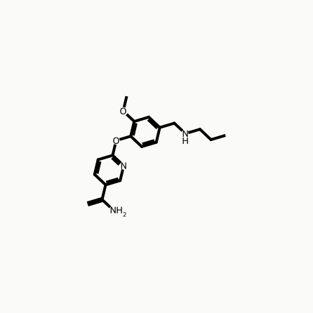 C=C(N)c1ccc(Oc2ccc(CNCCC)cc2OC)nc1